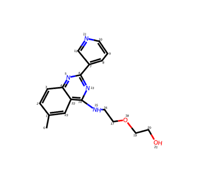 Cc1ccc2nc(-c3cccnc3)nc(NCCOCCO)c2c1